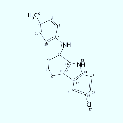 Cc1ccc(NC2CCCc3c2[nH]c2ccc(Cl)cc32)cc1